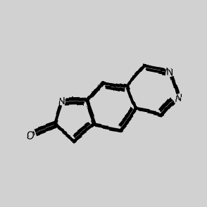 O=C1C=c2cc3cnncc3cc2=N1